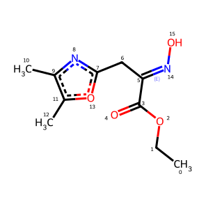 CCOC(=O)/C(Cc1nc(C)c(C)o1)=N/O